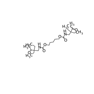 CCC(CC)(CNC(=O)OCCCCCOC(=O)NCC(CC)(CC)C(C)=O)C(C)=O